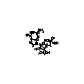 C[C@@]1(F)[C@H](O)[C@H](CP(=O)(O)O)O[C@H]1n1cnc2c(=O)[nH]c(N)nc21